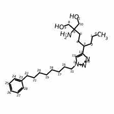 CCCC(CCC(N)(CO)CO)c1cn(CCCCCCCCc2ccccc2)nn1